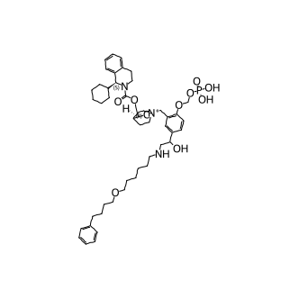 O=C(O[C@H]1C[N+]2(Cc3cc(C(O)CNCCCCCCOCCCCc4ccccc4)ccc3OCOP(=O)(O)O)CCC1CC2)N1CCc2ccccc2[C@@H]1C1CCCCC1